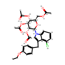 CCOc1ccc(Cc2cn([C@@H]3O[C@H](COC(C)=O)[C@@H](OC(C)=O)[C@H](OC(C)=O)[C@H]3OC(C)=O)c3cccc(Cl)c23)cc1